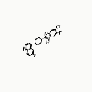 Fc1ccc2nccc([C@H]3CC[C@H](c4nc5cc(Cl)c(F)cc5[nH]4)CC3)c2c1